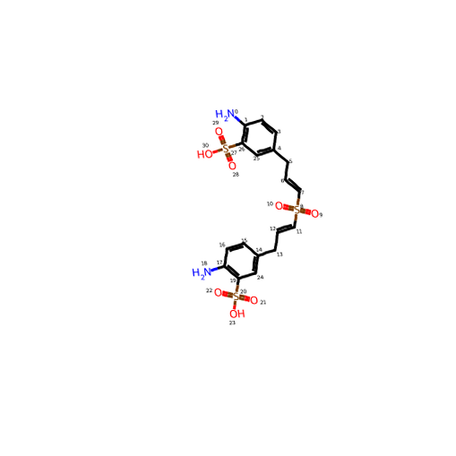 Nc1ccc(CC=CS(=O)(=O)C=CCc2ccc(N)c(S(=O)(=O)O)c2)cc1S(=O)(=O)O